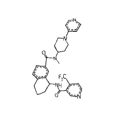 CN(C(=O)c1ccc2c(c1)C(NC(=O)c1cnccc1C(F)(F)F)CCC2)C1CCN(c2ccncc2)CC1